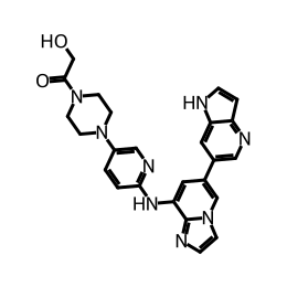 O=C(CO)N1CCN(c2ccc(Nc3cc(-c4cnc5cc[nH]c5c4)cn4ccnc34)nc2)CC1